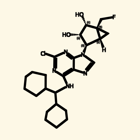 O[C@H]1[C@H](n2cnc3c(NC(C4CCCCC4)C4CCCCC4)nc(Cl)nc32)[C@H]2C[C@@]2(CF)[C@H]1O